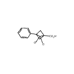 O=C(O)C12CC(c3ccccc3)(C1)C2(Cl)Cl